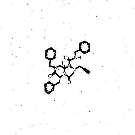 C#CCN1CC(=O)N2[C@@H](Cc3ccccc3)C(=O)N(Cc3ccccc3)C[C@@H]2N1C(=O)NCc1ccccc1